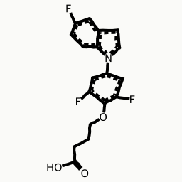 O=C(O)CCCOc1c(F)cc(-n2ccc3cc(F)ccc32)cc1F